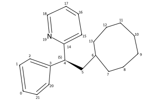 c1ccc([C@H](CC2CCCCCCC2)c2ccccn2)cc1